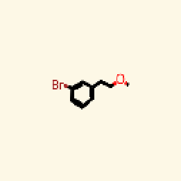 COCCc1cccc(Br)c1